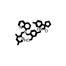 Cc1ccc(C2(C(=O)NCc3ccc(CN(Cc4ncc(C)cc4C)C4CCCc5cccnc54)c(CO)c3)CCCC2)cc1